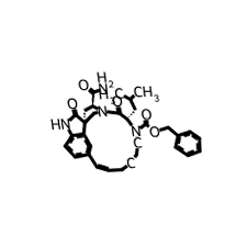 CC(C)C[C@H]1C(=O)N2C[C@]3(C[C@H]2C(N)=O)C(=O)Nc2ccc(cc23)/C=C\CCCCN1C(=O)OCc1ccccc1